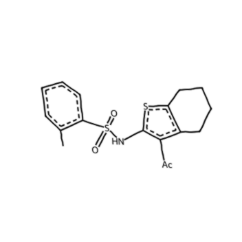 CC(=O)c1c(NS(=O)(=O)c2ccccc2C)sc2c1CCCC2